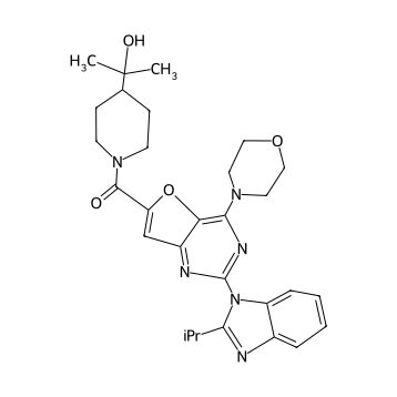 CC(C)c1nc2ccccc2n1-c1nc(N2CCOCC2)c2oc(C(=O)N3CCC(C(C)(C)O)CC3)cc2n1